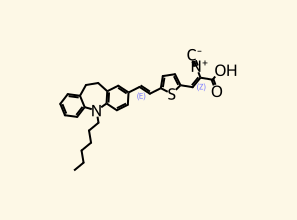 [C-]#[N+]/C(=C\c1ccc(/C=C/c2ccc3c(c2)CCc2ccccc2N3CCCCCC)s1)C(=O)O